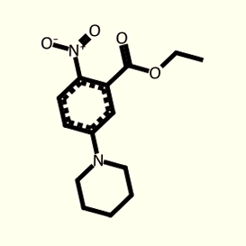 CCOC(=O)c1cc(N2CCCCC2)ccc1[N+](=O)[O-]